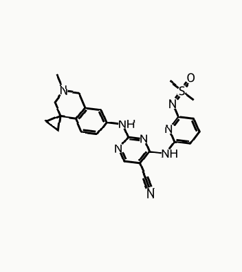 CN1Cc2cc(Nc3ncc(C#N)c(Nc4cccc(N=S(C)(C)=O)n4)n3)ccc2C2(CC2)C1